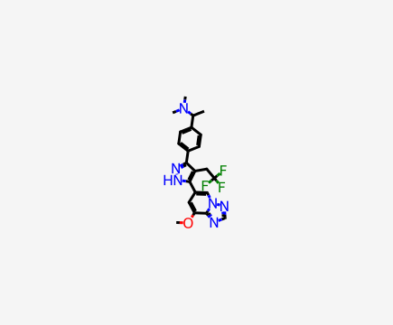 COc1cc(-c2[nH]nc(-c3ccc(C(C)N(C)C)cc3)c2CC(F)(F)F)cn2ncnc12